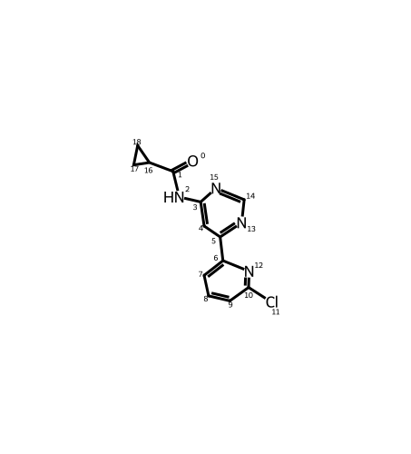 O=C(Nc1cc(-c2cccc(Cl)n2)ncn1)C1CC1